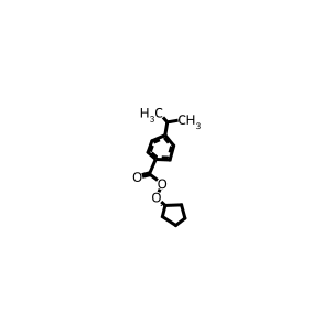 CC(C)c1ccc(C(=O)OO[C]2CCCC2)cc1